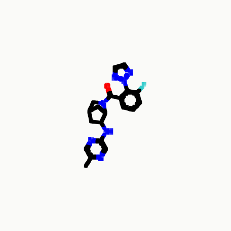 Cc1cnc(NC2CC3CC2N(C(=O)c2cccc(F)c2-n2nccn2)C3)cn1